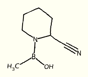 CB(O)N1CCCCC1C#N